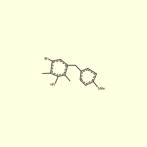 CCCc1c(C)c(Br)cc(Cc2ccc(SC)cc2)c1C